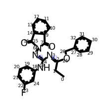 CC/C(=N\C(=N/N1C(=O)c2ccccc2C1=O)Nc1cccc(F)c1)OCc1ccccc1